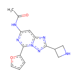 CC(=O)Nc1cc2nc(C3CNC3)nn2c(-c2ccco2)n1